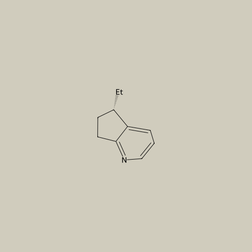 CC[C@H]1CCc2ncccc21